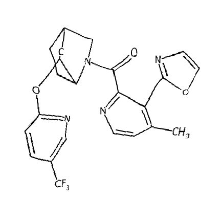 Cc1ccnc(C(=O)N2CC3CCC2C(Oc2ccc(C(F)(F)F)cn2)C3)c1-c1ncco1